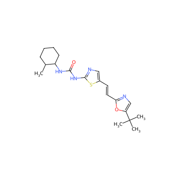 CC1CCCCC1NC(=O)Nc1ncc(C=Cc2ncc(C(C)(C)C)o2)s1